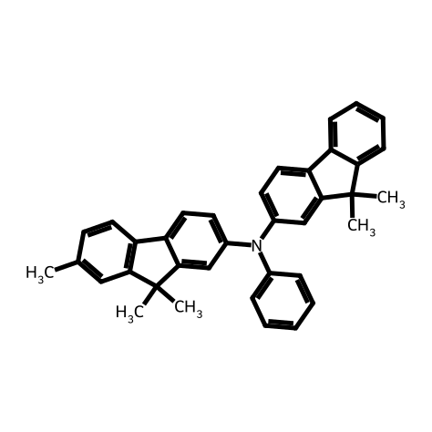 Cc1ccc2c(c1)C(C)(C)c1cc(N(c3ccccc3)c3ccc4c(c3)C(C)(C)c3ccccc3-4)ccc1-2